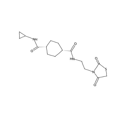 O=C1CSC(=O)N1CCNC(=O)[C@H]1CC[C@@H](C(=O)NC2CC2)CC1